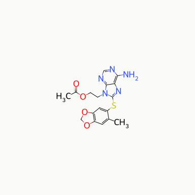 CC(=O)OCCn1c(Sc2cc3c(cc2C)OCO3)nc2c(N)ncnc21